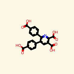 O=C(O)c1ccc(-c2cc(C(=O)O)c(C(=O)O)nc2-c2ccc(C(=O)O)cc2)cc1